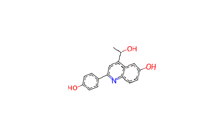 CC(O)c1cc(-c2ccc(O)cc2)nc2ccc(O)cc12